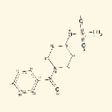 CS(=O)(=O)OC1CCN(C(=O)c2ccccc2)CC1